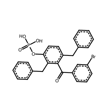 O=C(c1cccc(Br)c1)c1c(Cc2ccccc2)ccc(OP(=O)(O)O)c1Cc1ccccc1